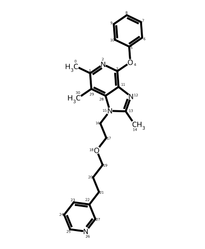 Cc1nc(Oc2ccccc2)c2nc(C)n(CCOCCCc3cccnc3)c2c1C